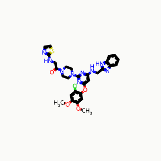 COc1cc(Cl)c(Oc2cc(NCc3nc4ccccc4[nH]3)nc(N3CCN(C(=O)CNc4nccs4)CC3)n2)cc1OC